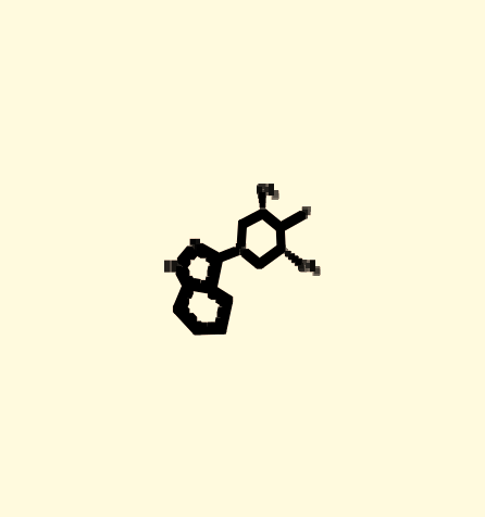 C[C@@H]1CN(c2n[nH]c3ccccc23)C[C@H](C)C1F